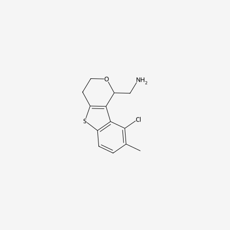 Cc1ccc2sc3c(c2c1Cl)C(CN)OCC3